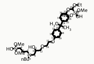 CCCCN(CCC[Si](O)(OC)OC)CC(O)COCCOc1ccc(C(C)(C)c2ccc(OC(OCC)[Si](O)(OC)OC)cc2)cc1